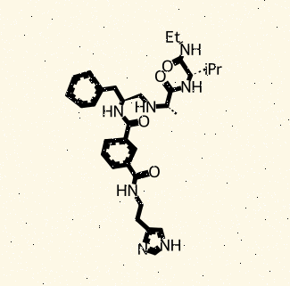 CCNC(=O)[C@@H](NC(=O)[C@H](C)NC[C@H](Cc1ccccc1)NC(=O)c1cccc(C(=O)NCCc2c[nH]cn2)c1)C(C)C